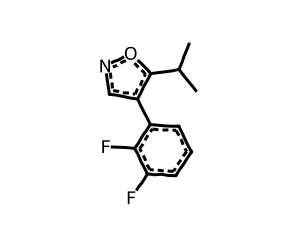 CC(C)c1oncc1-c1cccc(F)c1F